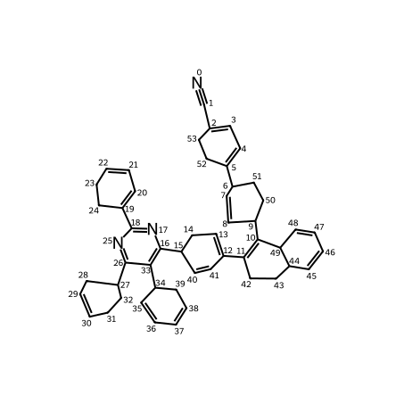 N#CC1=CC=C(C2C=CC(C3=C(C4=CCC(c5nc(C6=CC=CCC6)nc(C6CC=CCC6)c5C5C=CC=CC5)C=C4)CCC4C=CC=CC34)CC2)CC1